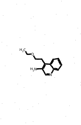 CCOCCc1c(N)cnc2ccccc12